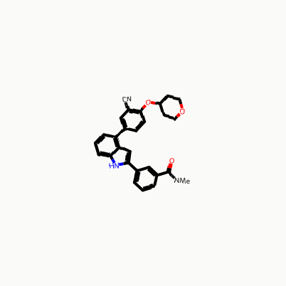 CNC(=O)c1cccc(-c2cc3c(-c4ccc(OC5CCOCC5)c(C#N)c4)cccc3[nH]2)c1